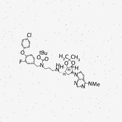 CNc1ncnc2c1ccn2[C@@H]1C[C@H](CNCCCN(Cc2ccc(Oc3ccc(Cl)cc3)c(F)c2)C(=O)OC(C)(C)C)[C@H]2OC(C)(C)O[C@H]21